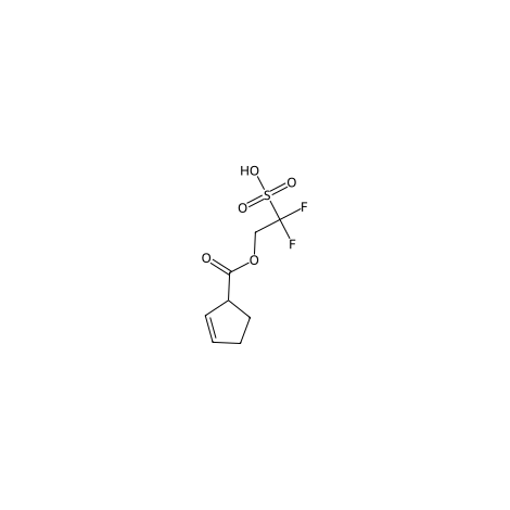 O=C(OCC(F)(F)S(=O)(=O)O)C1C=CCC1